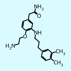 Cc1ccc(CCCNc2cc(CC(N)=O)ccc2OCCN)cc1C